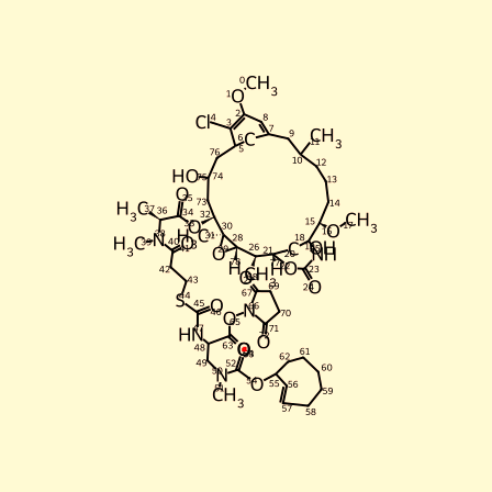 COC1=C(Cl)C2CC(=C1)CC(C)CCC[C@@H](OC)[C@@]1(O)C[C@H](OC(=O)N1)[C@@H](C)[C@@H]1O[C@@]1(C)[C@@H](OC(=O)[C@H](C)N(C)C(=O)CCSC(=O)NC(CN(C)C(=O)OC1/C=C/CCCCC1)C(=O)ON1C(=O)CCC1=O)CC(O)C2